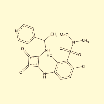 CON(C)S(=O)(=O)c1c(Cl)ccc(Nc2c(NC(C)c3ccncc3)c(=O)c2=O)c1O